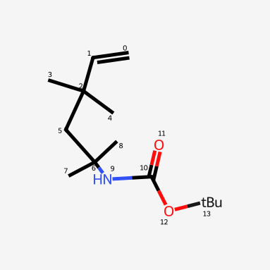 C=CC(C)(C)CC(C)(C)NC(=O)OC(C)(C)C